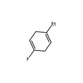 CCC1=CCC(F)=CC1